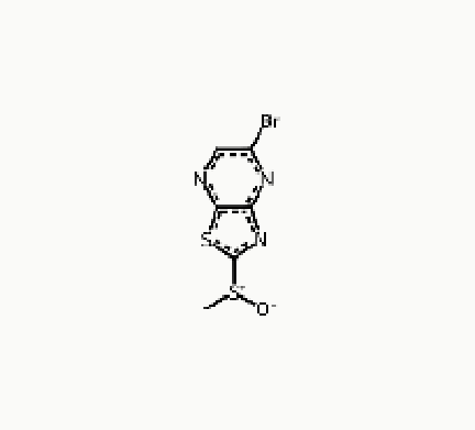 C[S+]([O-])c1nc2nc(Br)cnc2s1